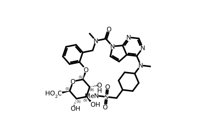 CNS(=O)(=O)CC1CCC(N(C)c2ncnc3c2ccn3C(=O)N(C)Cc2ccccc2O[C@@H]2O[C@H](C(=O)O)[C@@H](O)[C@H](O)[C@H]2O)CC1